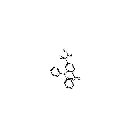 CCNC(=O)c1ccc(C(=O)OC)c(P(c2ccccc2)c2ccccc2)c1